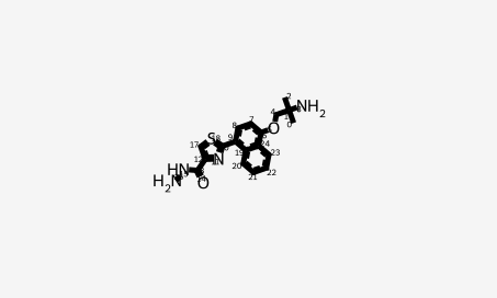 CC(C)(N)COc1ccc(-c2nc(C(=O)NN)cs2)c2ccccc12